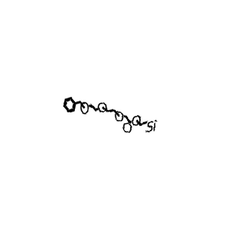 C[Si](C)(C)CCOC(=O)COCCOCCOCc1ccccc1